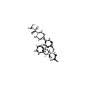 CC(C)CN(Cc1ccc(N2CCN(S(=O)(=O)N(C)C)CC2)cc1)S(=O)(=O)Cc1ccccc1